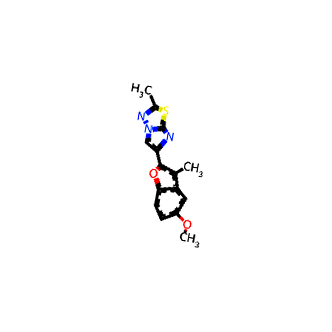 COc1ccc2oc(-c3cn4nc(C)sc4n3)c(C)c2c1